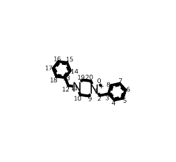 C[N+]1(Cc2ccccc2)CCN(Cc2ccccc2)CC1